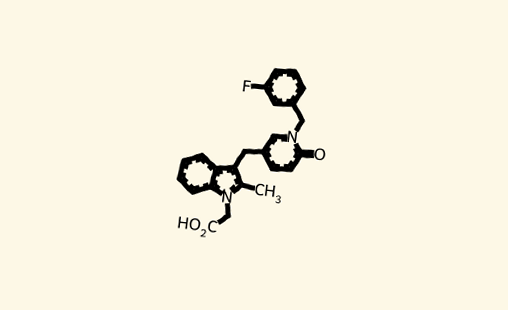 Cc1c(Cc2ccc(=O)n(Cc3cccc(F)c3)c2)c2ccccc2n1CC(=O)O